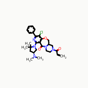 C=CC(=O)N1CCN2C(=O)c3c(N4C[C@@H](N(C)C)CC4(C)C)nc(-c4ccccc4)c(Cl)c3OCC2C1